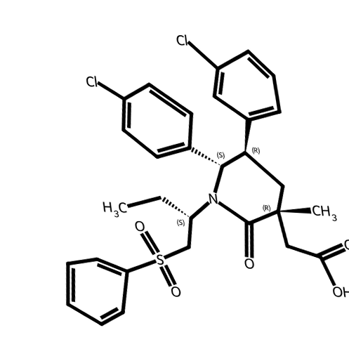 CC[C@@H](CS(=O)(=O)c1ccccc1)N1C(=O)[C@@](C)(CC(=O)O)C[C@H](c2cccc(Cl)c2)[C@H]1c1ccc(Cl)cc1